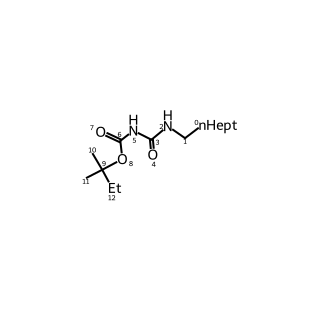 CCCCCCCCNC(=O)NC(=O)OC(C)(C)CC